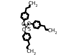 C=CCc1ccc(OP(=S)(Oc2ccc(CC=C)cc2)Oc2ccc(CC=C)cc2)cc1